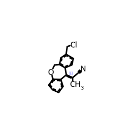 C/C(C#N)=C1/c2ccc(CCl)cc2COc2ccccc21